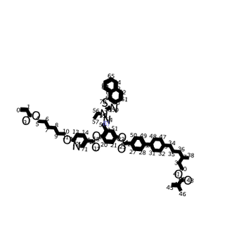 C=CC(=O)OCCCCCCOc1ccc(C(=O)Oc2ccc(OC(=O)c3ccc(C4CCC(CCCC(C)CCOC(=O)C(=C)C)CC4)cc3)cc2/C=N/N(CC)c2nc3ccc4ccccc4c3s2)cn1